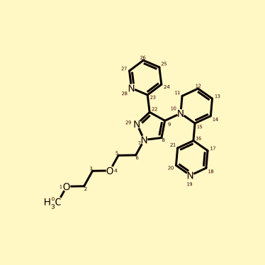 COCCOCCn1cc(N2CC=CC=C2c2ccncc2)c(-c2ccccn2)n1